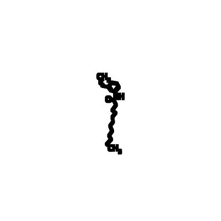 C=C=Cc1cccc(NC(=O)CCCCCCCCCCC)c1